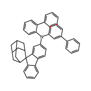 c1ccc(-c2cccc(N(c3ccc4c(c3)C3(c5ccccc5-4)C4CC5CC(C4)CC3C5)c3ccccc3-c3ccccc3)c2)cc1